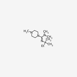 CCC(C)(C)N=C(N(C)C)N1CCN(C)CC1